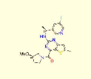 CO[C@@H]1CCN(C(=O)c2nc(N[C@@H](C)c3cncc(F)c3)nc3cc(C)sc23)C1